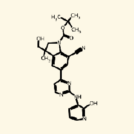 CC(C)(C)OC(=O)N1CC(C)(CO)c2cc(-c3ccnc(Nc4cccnc4O)n3)cc(C#N)c21